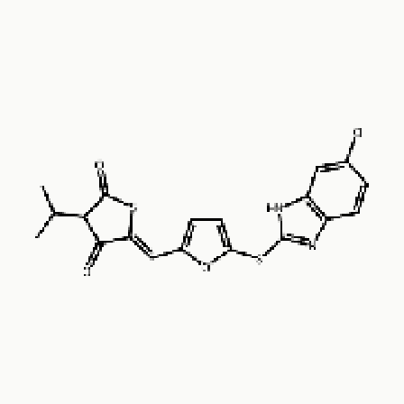 CC(C)C1C(=O)S/C(=C\c2ccc(Sc3nc4ccc(Cl)cc4[nH]3)o2)C1=O